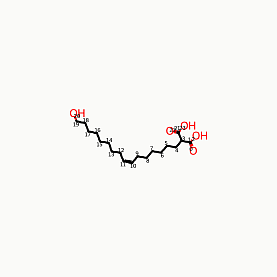 O=C(O)C(CCCCCC/C=C\CCCCCCCCO)C(=O)O